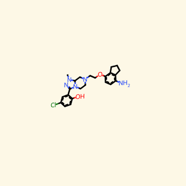 CN1N=C(c2cc(Cl)ccc2O)N2CCN(CCOc3ccc(N)c4c3CCC4)CC12